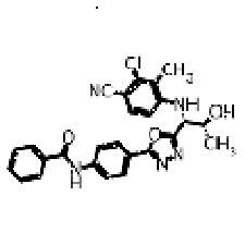 Cc1c(N[C@@H](c2nnc(-c3ccc(NC(=O)c4ccccc4)cc3)o2)[C@@H](C)O)ccc(C#N)c1Cl